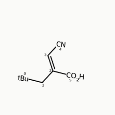 CC(C)(C)C/C(=C/C#N)C(=O)O